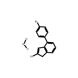 CCC1=Cc2c(cccc2-c2ccc(Br)cc2)[CH]1.[Cl][Zr][Cl]